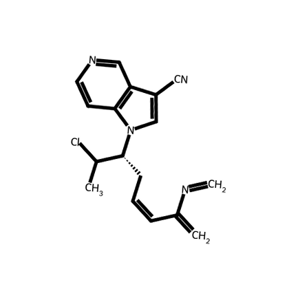 C=NC(=C)/C=C\C[C@H](C(C)Cl)n1cc(C#N)c2cnccc21